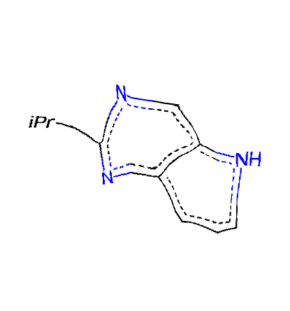 CC(C)c1ncc2[nH]ccc2n1